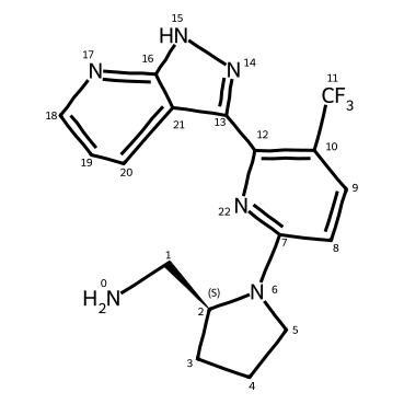 NC[C@@H]1CCCN1c1ccc(C(F)(F)F)c(-c2n[nH]c3ncccc23)n1